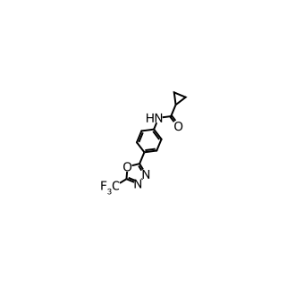 O=C(Nc1ccc(-c2nnc(C(F)(F)F)o2)cc1)C1CC1